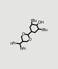 CCCC(CCC)C1COC(C2CC(C(C)(C)C)C(O)C(C(C)(C)C)C2)OC1